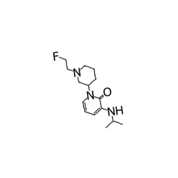 CC(C)Nc1cccn(C2CCCN(CCF)C2)c1=O